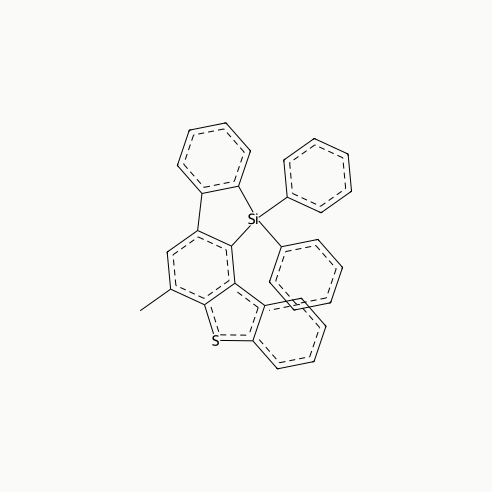 Cc1cc2c(c3c1sc1ccccc13)[Si](c1ccccc1)(c1ccccc1)c1ccccc1-2